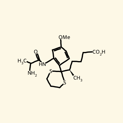 COc1ccc(C2([C@H](C)CCCC(=O)O)SCCCS2)c(NC(=O)C(C)N)c1